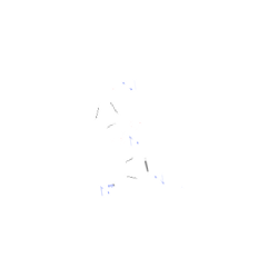 CC1CNC(=O)c2cccc(S(=O)(=O)N3CCc4c(N)cc(C#N)cc43)c21